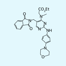 CCOC(=O)CN(C)c1nc(Nc2ccc(N3CCOCC3)cc2)ncc1CN1C(=O)c2ccccc2C1=O